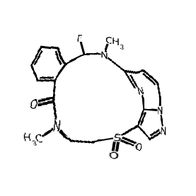 CN1CCS(=O)(=O)c2cnn3ccc(nc23)N(C)C(F)c2ccccc2C1=O